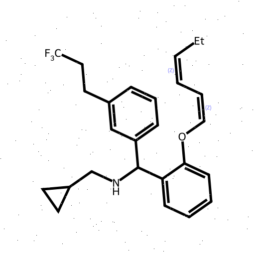 CC/C=C\C=C/Oc1ccccc1C(NCC1CC1)c1cccc(CCC(F)(F)F)c1